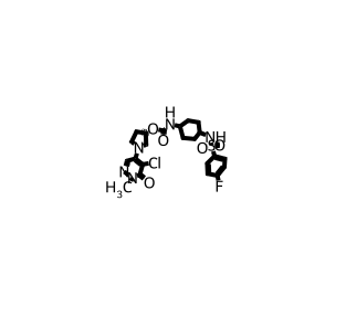 Cn1ncc(N2CC[C@@H](OC(=O)NC3CCC(NS(=O)(=O)c4ccc(F)cc4)CC3)C2)c(Cl)c1=O